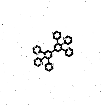 c1ccc(-c2cc(-c3cc(-c4ccccn4)c(-c4ccccn4)c(-c4ccccn4)c3)cc(-c3ccccn3)c2-c2ccccn2)cc1